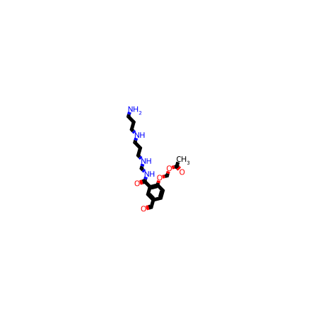 CC(=O)OCOc1ccc(C=O)cc1C(=O)NCNCCCNCCCN